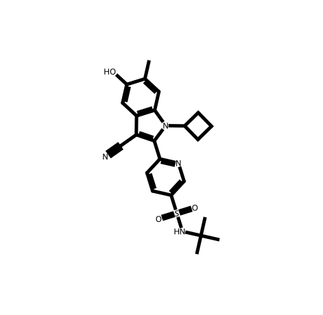 Cc1cc2c(cc1O)c(C#N)c(-c1ccc(S(=O)(=O)NC(C)(C)C)cn1)n2C1CCC1